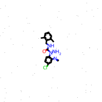 C=Nc1cc(Cl)ccc1N(N)C(=O)NCc1c(C)cccc1C